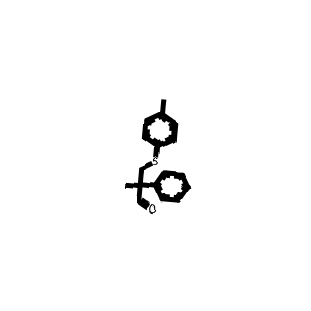 Cc1ccc(SCC(C)(C=O)c2ccccc2)cc1